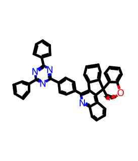 c1ccc(-c2nc(-c3ccccc3)nc(-c3ccc(-c4nc5ccccc5c5c4-c4ccccc4C54c5ccccc5Oc5ccccc54)cc3)n2)cc1